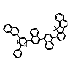 CC1(C)c2c(cccc2-c2ccc(-c3ccc(-c4cc(-c5ccc6ccccc6c5)nc(-c5ccccc5)n4)c4ccccc34)c3ccccc23)-c2ccc3ccccc3c21